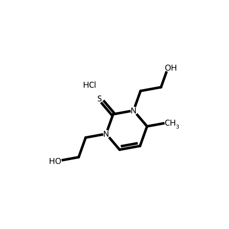 CC1C=CN(CCO)C(=S)N1CCO.Cl